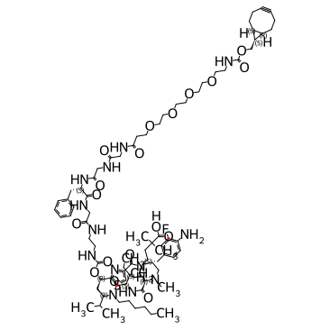 CCCCCCN(C(=O)[C@@H](NC(=O)[C@H]1CCCCN1C)[C@@H](C)CC)[C@H](C[C@@H](OC(=O)NCCNC(=O)CNC(=O)[C@H](Cc1ccccc1)NC(=O)CNC(=O)CNC(=O)CCOCCOCCOCCOCCNC(=O)OC[C@@H]1[C@@H]2CCC#CCC[C@@H]21)c1nc(C(=O)N[C@@H](Cc2ccc(N)c(F)c2)CC(C)(C)C(=O)O)cs1)C(C)C